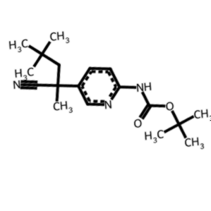 CC(C)(C)CC(C)(C#N)c1ccc(NC(=O)OC(C)(C)C)nc1